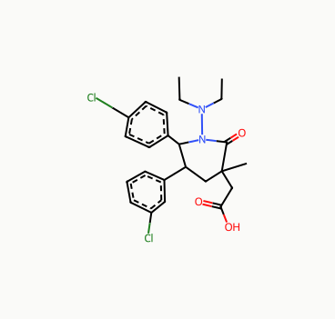 CCN(CC)N1C(=O)C(C)(CC(=O)O)CC(c2cccc(Cl)c2)C1c1ccc(Cl)cc1